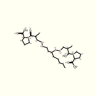 CCCCCC(CCSSCC(C)C(=O)N1CCCC1C(=O)O)SSCC(C)C(O)N1CCCC1C(=O)O